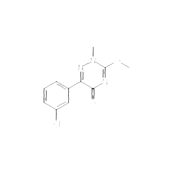 COc1nc(=O)c(-c2cccc(Cl)c2)nn1C